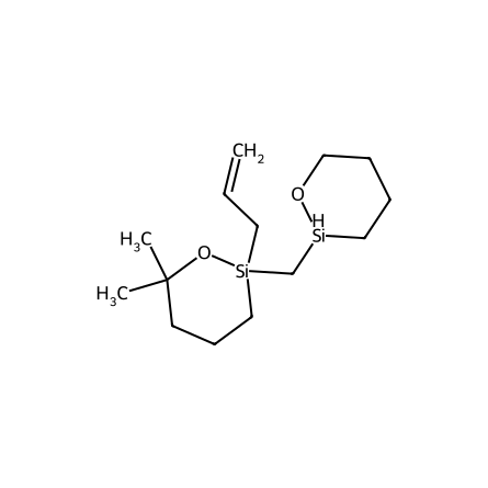 C=CC[Si]1(C[SiH]2CCCCO2)CCCC(C)(C)O1